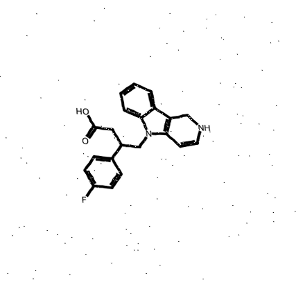 O=C(O)CC(Cn1c2c(c3ccccc31)CNC=C2)c1ccc(F)cc1